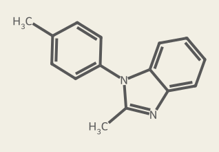 Cc1ccc(-n2c(C)nc3ccccc32)cc1